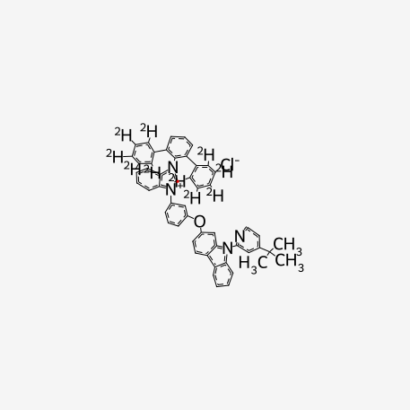 [2H]c1c([2H])c([2H])c(-c2cccc(-c3c([2H])c([2H])c([2H])c([2H])c3[2H])c2-n2c[n+](-c3cccc(Oc4ccc5c6ccccc6n(-c6cc(C(C)(C)C)ccn6)c5c4)c3)c3ccccc32)c([2H])c1[2H].[Cl-]